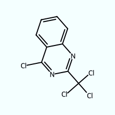 Clc1nc(C(Cl)(Cl)Cl)nc2ccccc12